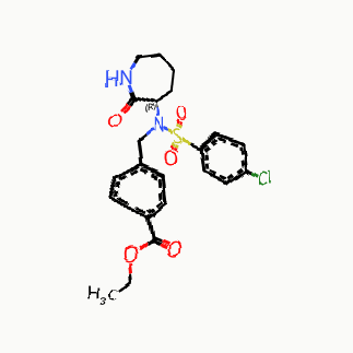 CCOC(=O)c1ccc(CN([C@@H]2CCCCNC2=O)S(=O)(=O)c2ccc(Cl)cc2)cc1